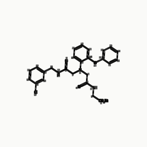 CCOC(=O)CNC(=O)CN(CC(=O)NCc1cccc(Cl)c1)c1ccccc1Oc1ccccc1